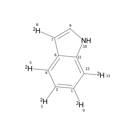 [2H]c1c([2H])c([2H])c2c([2H])c[nH]c2c1[2H]